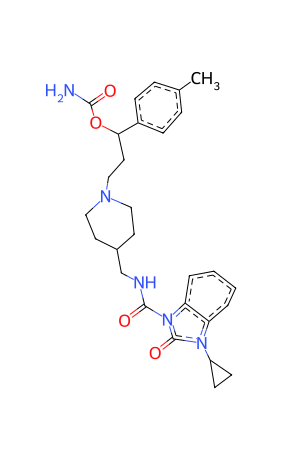 Cc1ccc(C(CCN2CCC(CNC(=O)n3c(=O)n(C4CC4)c4ccccc43)CC2)OC(N)=O)cc1